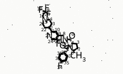 C[C@H]1CC[C@@H](C(=O)NCc2cc(C3CCN(CC(F)(F)F)CC3)ncc2F)N1[S+]([O-])c1ccc(F)cc1